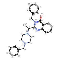 CCC(c1nc2ccccc2c(=O)n1Cc1ccccc1)N1CCN(Cc2ccccc2)CC1